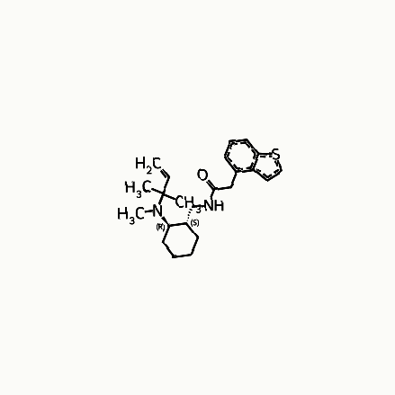 C=CC(C)(C)N(C)[C@@H]1CCCC[C@H]1CNC(=O)Cc1cccc2sccc12